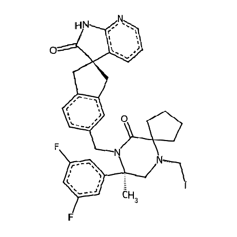 C[C@@]1(c2cc(F)cc(F)c2)CN(CI)C2(CCCC2)C(=O)N1Cc1ccc2c(c1)C[C@@]1(C2)C(=O)Nc2ncccc21